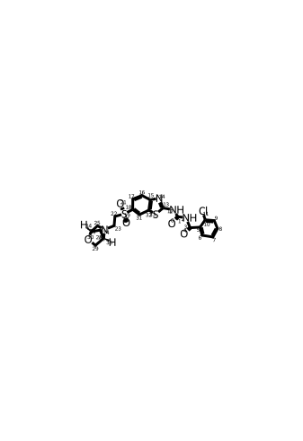 O=C(NC(=O)c1ccccc1Cl)Nc1nc2ccc(S(=O)(=O)CCN3C[C@@H]4C[C@H]3CO4)cc2s1